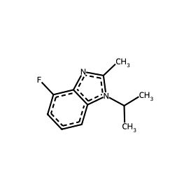 Cc1nc2c(F)cccc2n1C(C)C